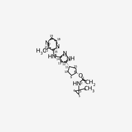 C=C(NC1(C)CC1)O[C@@H]1CC[C@H](c2cc(Nc3nccnc3C)n[nH]2)C1